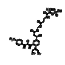 CCC(CC(=O)OCOC(=O)CCNC(=O)C(C)OP(=O)(O)O)c1ccc(N(CC(C)C)CC(C)C)c(NC(=O)Nc2ccc(C)cc2)c1